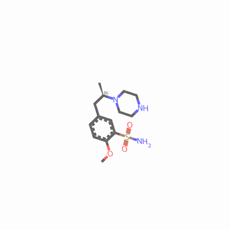 COc1ccc(C[C@@H](C)N2CCNCC2)cc1S(N)(=O)=O